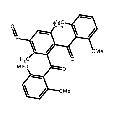 COc1cccc(OC)c1C(=O)c1c(C)cc(P=O)c(C)c1C(=O)c1c(OC)cccc1OC